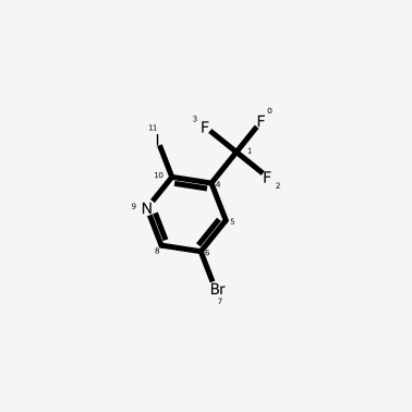 FC(F)(F)c1cc(Br)cnc1I